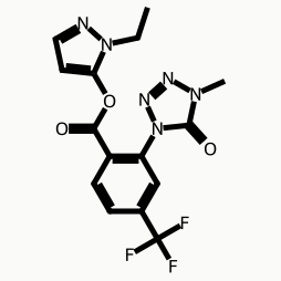 CCn1nccc1OC(=O)c1ccc(C(F)(F)F)cc1-n1nnn(C)c1=O